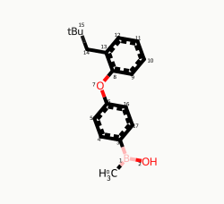 CB(O)c1ccc(Oc2ccccc2CC(C)(C)C)cc1